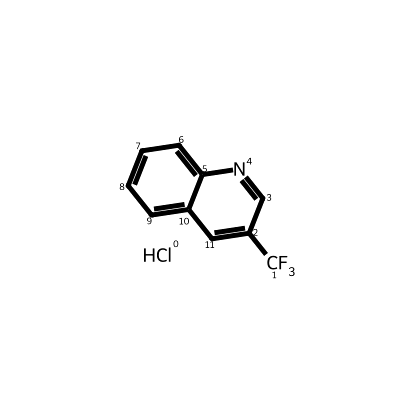 Cl.FC(F)(F)c1cnc2ccccc2c1